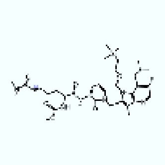 COC(=O)NC(CC/C=C/C(=O)N(C)C)C(=O)Nc1cccn(Cc2c(C)c3ncc(F)c(CC(C)C)c3n2COCC[Si](C)(C)C)c1=O